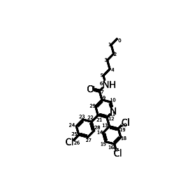 CCCCCCNC(=O)c1cnc(-c2ccc(Cl)cc2Cl)c(-c2ccc(Cl)cc2)c1